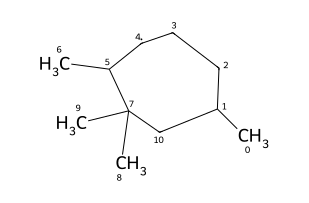 CC1CC[CH]C(C)C(C)(C)C1